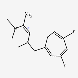 CN(/C=C(/N)N(C)C)CC1=CC(F)=CC(F)=CC1